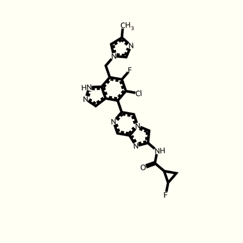 Cc1cn(Cc2c(F)c(Cl)c(-c3cn4cc(NC(=O)C5CC5F)nc4cn3)c3cn[nH]c23)cn1